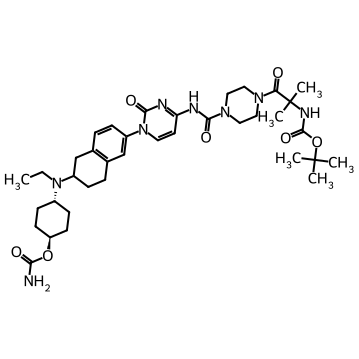 CCN(C1CCc2cc(-n3ccc(NC(=O)N4CCN(C(=O)C(C)(C)NC(=O)OC(C)(C)C)CC4)nc3=O)ccc2C1)[C@H]1CC[C@H](OC(N)=O)CC1